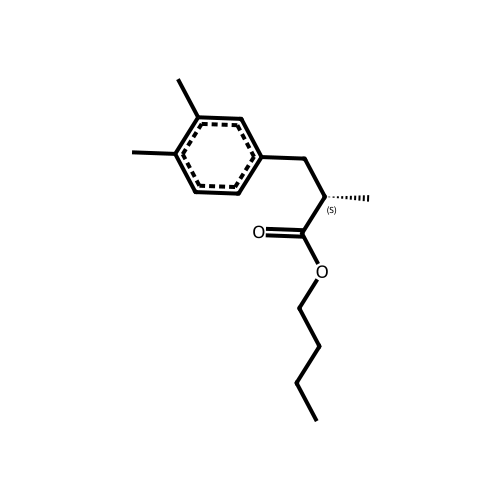 CCCCOC(=O)[C@@H](C)Cc1ccc(C)c(C)c1